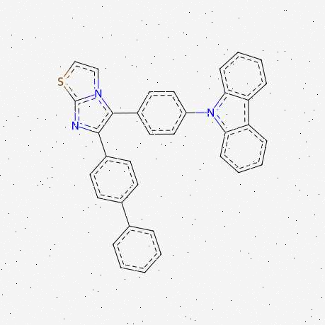 c1ccc(-c2ccc(-c3nc4sccn4c3-c3ccc(-n4c5ccccc5c5ccccc54)cc3)cc2)cc1